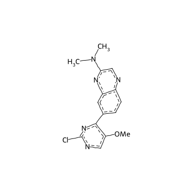 COc1cnc(Cl)nc1-c1ccc2ncc(N(C)C)nc2c1